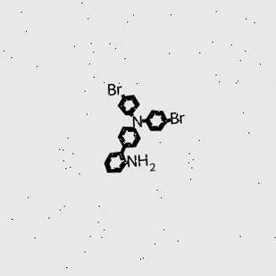 Nc1ccccc1-c1ccc(N(c2ccc(Br)cc2)c2ccc(Br)cc2)cc1